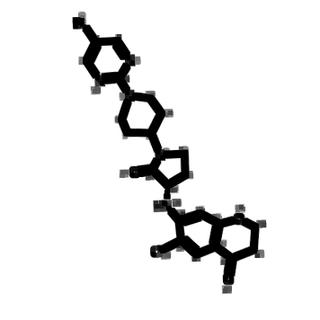 CCc1cnc(N2CCC(N3CC[C@H](Nc4cc5c(cc4Cl)C(=O)CCO5)C3=O)CC2)nc1